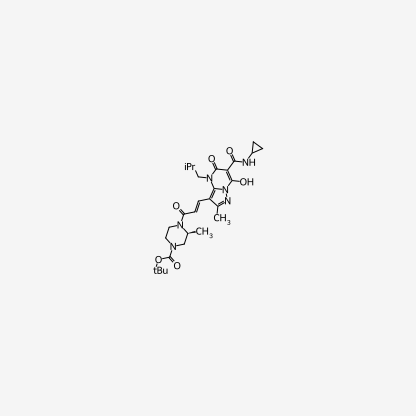 Cc1nn2c(O)c(C(=O)NC3CC3)c(=O)n(CC(C)C)c2c1/C=C/C(=O)N1CCN(C(=O)OC(C)(C)C)C[C@@H]1C